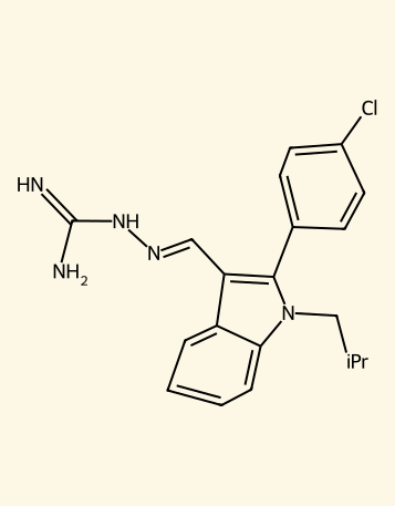 CC(C)Cn1c(-c2ccc(Cl)cc2)c(C=NNC(=N)N)c2ccccc21